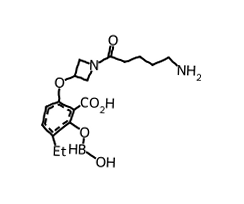 CCc1ccc(OC2CN(C(=O)CCCCN)C2)c(C(=O)O)c1OBO